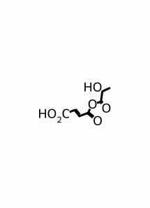 CC(O)C(=O)OC(=O)C=CC(=O)O